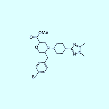 COC(=O)C1CN(C2CCC(c3nc(C)n(C)n3)CC2)C(Cc2ccc(Br)cc2)CO1